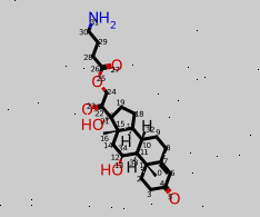 C[C@]12CCC(=O)C=C1CC[C@@H]1[C@@H]2[C@@H](O)C[C@@]2(C)[C@H]1CC[C@]2(O)C(=O)COC(=O)CCCN